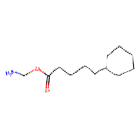 NCOC(=O)CCCCC1CCCCC1